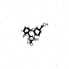 C#Cc1ccc(N2NC(=O)NC2c2c(F)cccc2Cl)cc1